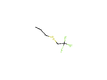 CC[CH]SCC(F)(F)F